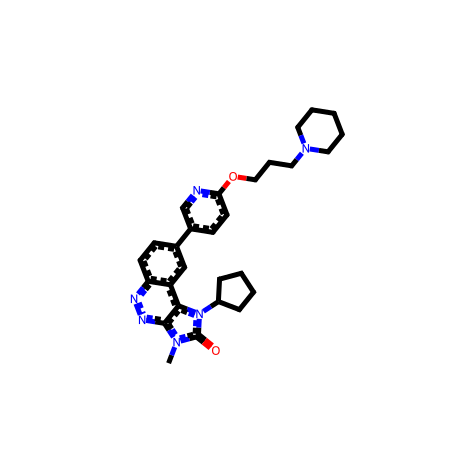 Cn1c(=O)n(C2CCCC2)c2c3cc(-c4ccc(OCCCN5CCCCC5)nc4)ccc3nnc21